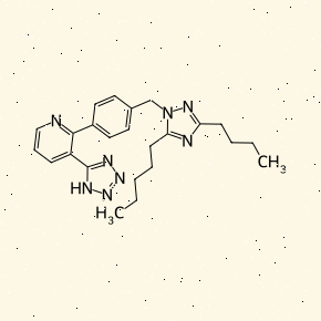 CCCCCc1nc(CCCC)nn1Cc1ccc(-c2ncccc2-c2nnn[nH]2)cc1